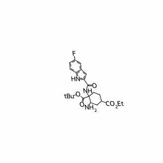 CCOC(=O)C1CCC(NC(=O)c2cc3cc(F)ccc3[nH]2)(C(=O)OC(C)(C)C)C(N)C1